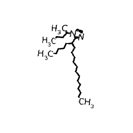 CCCCCCCCCCCCCC(CCCCC)c1nccn1C(C)CCC